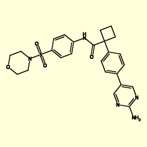 Nc1ncc(-c2ccc(C3(C(=O)Nc4ccc(S(=O)(=O)N5CCOCC5)cc4)CCC3)cc2)cn1